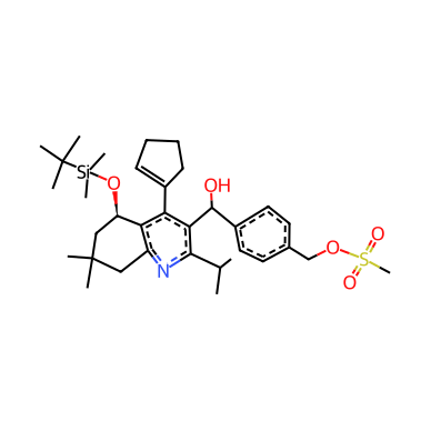 CC(C)c1nc2c(c(C3=CCCC3)c1C(O)c1ccc(COS(C)(=O)=O)cc1)[C@H](O[Si](C)(C)C(C)(C)C)CC(C)(C)C2